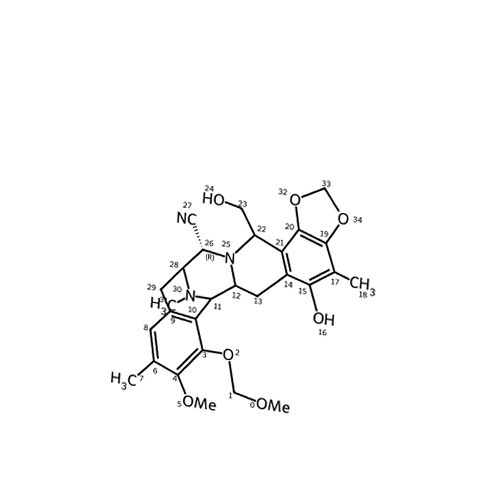 COCOc1c(OC)c(C)cc2c1C1C3Cc4c(O)c(C)c5c(c4C(CO)N3[C@@H](C#N)C(C2)N1C)OCO5